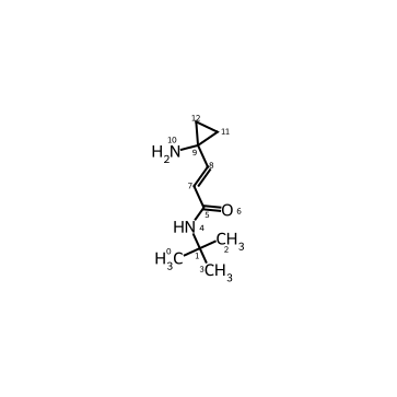 CC(C)(C)NC(=O)/C=C/C1(N)CC1